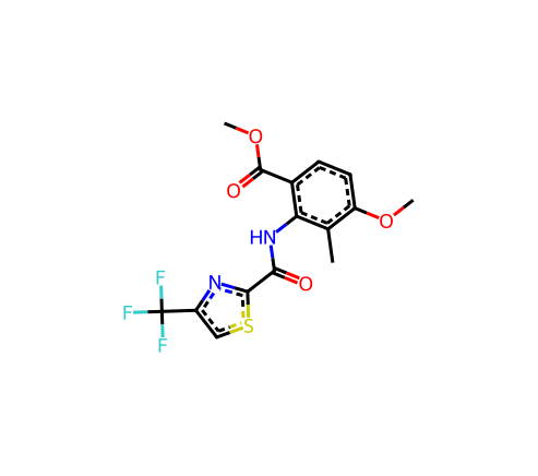 COC(=O)c1ccc(OC)c(C)c1NC(=O)c1nc(C(F)(F)F)cs1